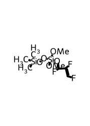 CO[Si](OC)(OO[Si](C)(C)C)OC(F)C(F)=CF